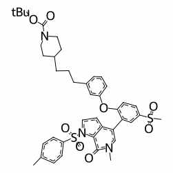 Cc1ccc(S(=O)(=O)n2ccc3c(-c4cc(S(C)(=O)=O)ccc4Oc4cccc(CCCC5CCN(C(=O)OC(C)(C)C)CC5)c4)cn(C)c(=O)c32)cc1